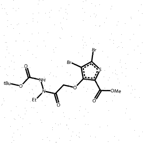 CCN(NC(=O)OC(C)(C)C)C(=O)COc1c(C(=O)OC)sc(Br)c1Br